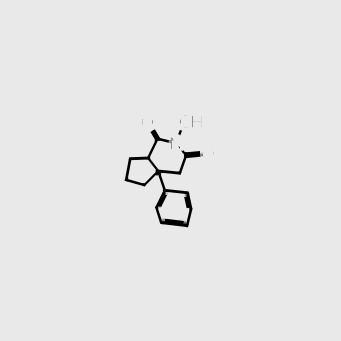 CN1C(=O)CC2(c3ccccc3)CCCC2C1=O